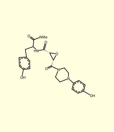 CNC(=O)C(Cc1ccc(O)cc1)NC(=O)[C@@H]1O[C@@H]1C(=O)N1CCN(c2ccc(O)cc2)CC1